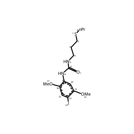 CCCSCCCNC(=O)Nc1cc(OC)c(I)cc1OC